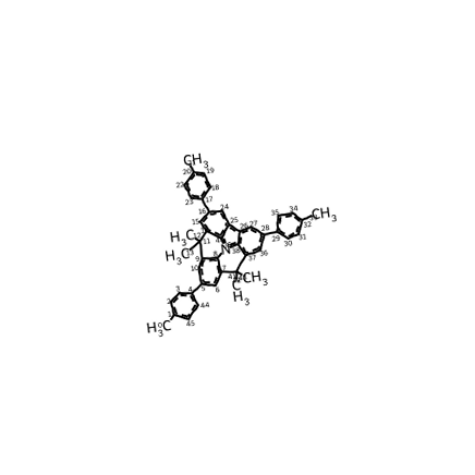 Cc1ccc(-c2cc3c4c(c2)C(C)(C)c2cc(-c5ccc(C)cc5)cc5c6cc(-c7ccc(C)cc7)cc(c6n-4c25)C3(C)C)cc1